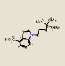 COC(CCCn1ccc2c(C(=O)O)cccc21)(OC)OC